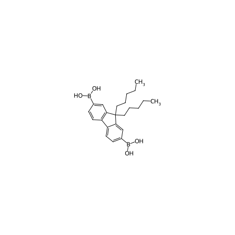 CCCCCC1(CCCCC)c2cc(B(O)O)ccc2-c2ccc(B(O)O)cc21